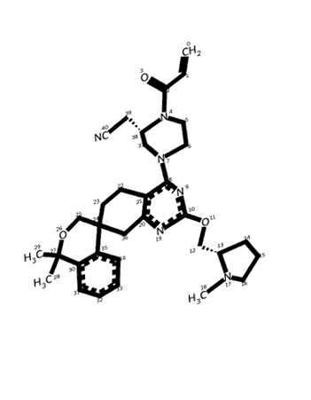 C=CC(=O)N1CCN(c2nc(OC[C@@H]3CCCN3C)nc3c2CCC2(COC(C)(C)c4ccccc42)C3)C[C@@H]1CC#N